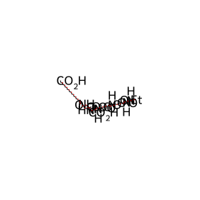 CCC(=O)NCCNC(=O)COCCOCCNC(=O)COCCOCCNC(=O)CC[C@H](NC(=O)[C@H]1CC[C@H](CNC(=O)CCCCCCCCCCCCCCCCCCC(=O)O)CC1)C(=O)O